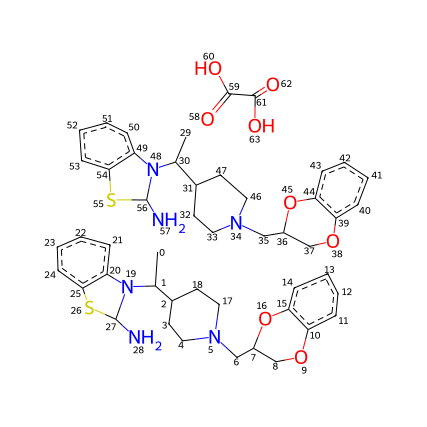 CC(C1CCN(CC2COc3ccccc3O2)CC1)N1c2ccccc2SC1N.CC(C1CCN(CC2COc3ccccc3O2)CC1)N1c2ccccc2SC1N.O=C(O)C(=O)O